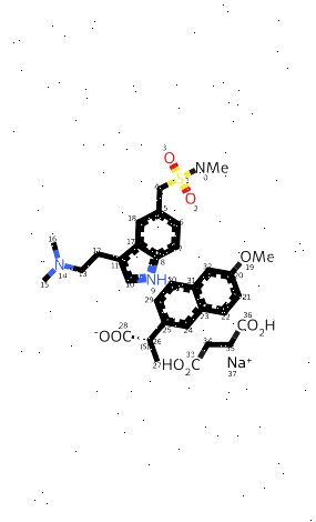 CNS(=O)(=O)Cc1ccc2[nH]cc(CCN(C)C)c2c1.COc1ccc2cc([C@H](C)C(=O)[O-])ccc2c1.O=C(O)CCC(=O)O.[Na+]